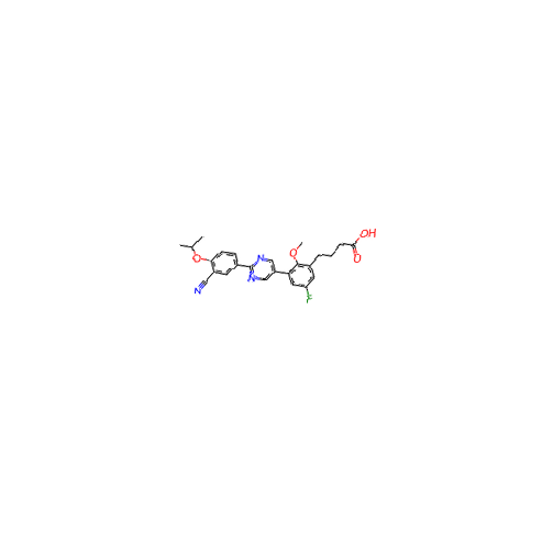 COc1c(CCCC(=O)O)cc(F)cc1-c1cnc(-c2ccc(OC(C)C)c(C#N)c2)nc1